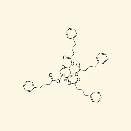 O=C(CCCc1ccccc1)OC1OC[C@@H](OC(=O)CCCc2ccccc2)[C@H](OC(=O)CCCc2ccccc2)[C@H]1OC(=O)CCCc1ccccc1